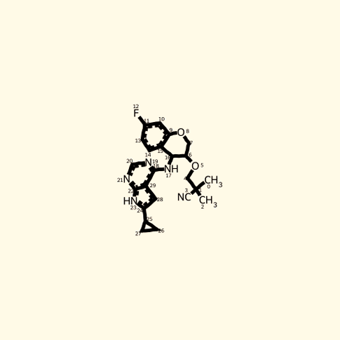 CC(C)(C#N)COC1COc2cc(F)ccc2C1Nc1ncnc2[nH]c(C3CC3)cc12